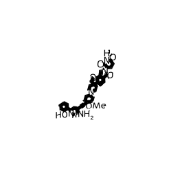 COC1(C#Cc2cc(-c3ccccc3O)nnc2N)CCC(N2CCC3(CC2)COc2c3ccc3c2CN(C2CCC(=O)NC2=O)C3=O)CC1